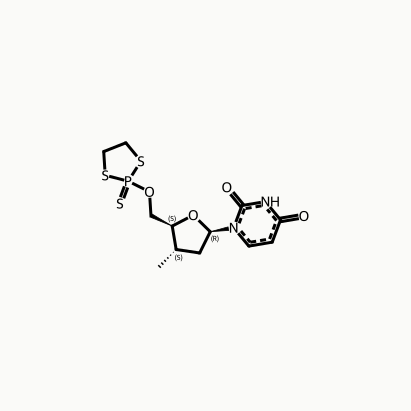 C[C@H]1C[C@H](n2ccc(=O)[nH]c2=O)O[C@@H]1COP1(=S)SCCS1